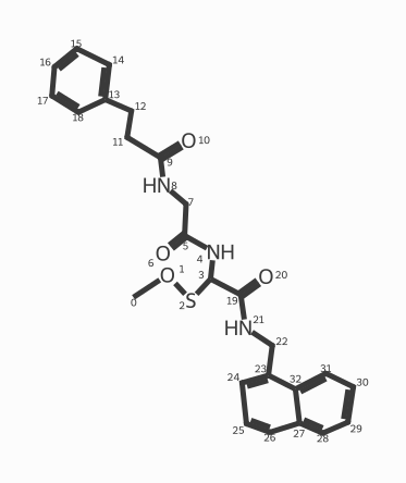 COSC(NC(=O)CNC(=O)CCc1ccccc1)C(=O)NCc1cccc2ccccc12